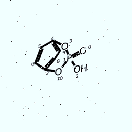 O=P1(O)Oc2ccc(cc2)O1